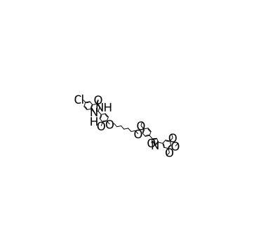 COc1cc(C2NC(=O)c3cc(Cl)ccc3N2)ccc1OCCCCCCCOc1cc(-c2cc(-c3cc(OC)c(OC)c(OC)c3)no2)ccc1OC